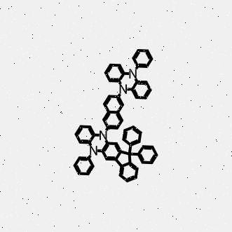 c1ccc(N2c3ccccc3N(c3ccc4cc(N5c6ccccc6N(c6ccccc6)c6cc7c(cc65)C(c5ccccc5)(c5ccccc5)c5ccccc5-7)ccc4c3)c3ccccc32)cc1